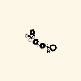 O=C(CCl)N(Cc1ccccc1)c1ccc(Oc2ccc(OBC3CCCCCCC3)cc2)cc1